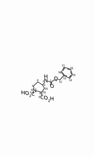 O=C(NC1CCN(C(=O)O)[C@H](C(=O)O)C1)OCc1ccccc1